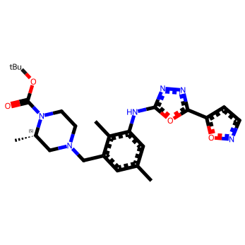 Cc1cc(CN2CCN(C(=O)OC(C)(C)C)[C@@H](C)C2)c(C)c(Nc2nnc(-c3ccno3)o2)c1